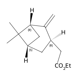 C=C1[C@@H](CC(=O)OCC)C[C@H]2C[C@@H]1C2(C)C